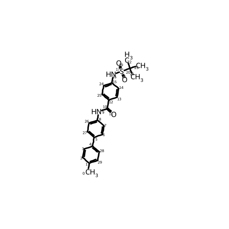 Cc1ccc(-c2ccc(NC(=O)c3ccc(NS(=O)(=O)C(C)(C)C)cc3)cc2)cc1